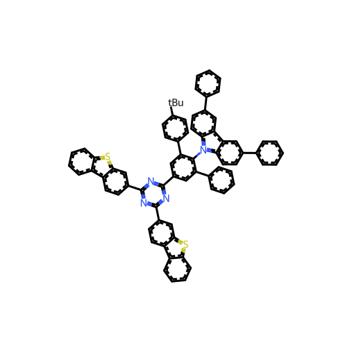 CC(C)(C)c1ccc(-c2cc(-c3nc(-c4ccc5c(c4)sc4ccccc45)nc(-c4ccc5c(c4)sc4ccccc45)n3)cc(-c3ccccc3)c2-n2c3ccc(-c4ccccc4)cc3c3cc(-c4ccccc4)ccc32)cc1